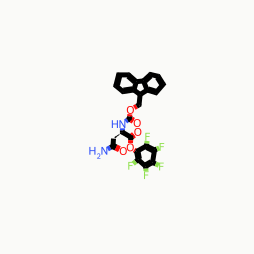 NC(=O)C[C@H](NC(=O)OCC1c2ccccc2-c2ccccc21)C(=O)Oc1c(F)c(F)c(F)c(F)c1F